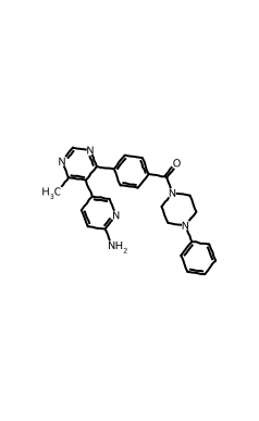 Cc1ncnc(-c2ccc(C(=O)N3CCN(c4ccccc4)CC3)cc2)c1-c1ccc(N)nc1